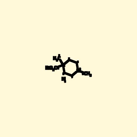 CCOC(=O)C1(C)CCN(C)CC1.I